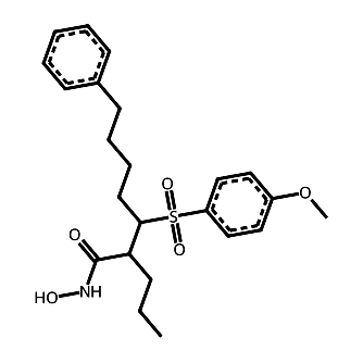 CCCC(C(=O)NO)C(CCCCc1ccccc1)S(=O)(=O)c1ccc(OC)cc1